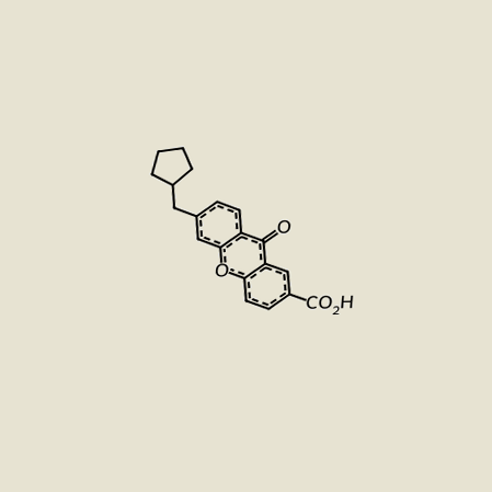 O=C(O)c1ccc2oc3cc(CC4CCCC4)ccc3c(=O)c2c1